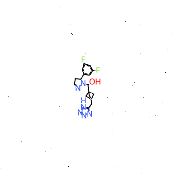 OC(N1N=CCC1c1cc(F)cc(F)c1)C12CC(Cc3nnn[nH]3)(C1)C2